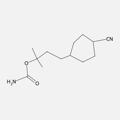 CC(C)(CCC1CCC(C#N)CC1)OC(N)=O